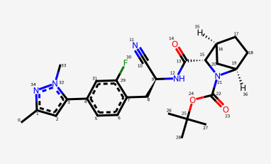 Cc1cc(-c2ccc(C[C@@H](C#N)NC(=O)[C@@H]3[C@H]4CC[C@H](C4)N3C(=O)OC(C)(C)C)c(F)c2)n(C)n1